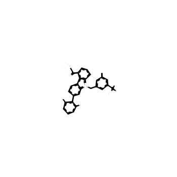 NC(=O)c1cccc2c1c1[c]cc(-c3c(Cl)cccc3Cl)cc1n2Cc1cc(F)cc(C(F)(F)F)c1